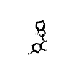 Brc1ccc(Nc2nc3ccccc3[nH]2)c(Br)c1